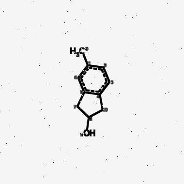 Cc1ccc2c(c1)CC(O)C2